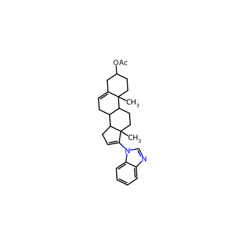 CC(=O)OC1CCC2(C)C(=CCC3C2CCC2(C)C(n4cnc5ccccc54)=CCC32)C1